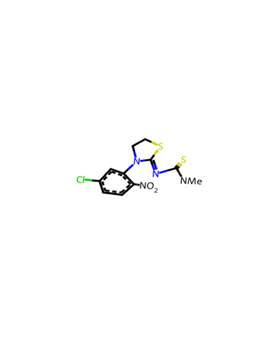 CNC(=S)N=C1SCCN1c1cc(Cl)ccc1[N+](=O)[O-]